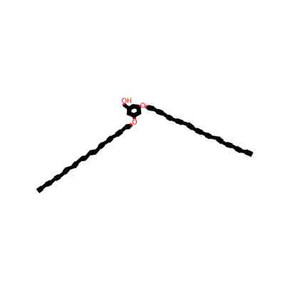 C#CC#CC#CC#CC#CC#CC#CC#CC#CC#CC#COc1cc(CO)cc(OC#CC#CC#CC#CC#CC#CC#CC#CC#CC#CC#C)c1